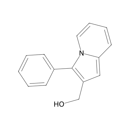 OCc1cc2ccccn2c1-c1ccccc1